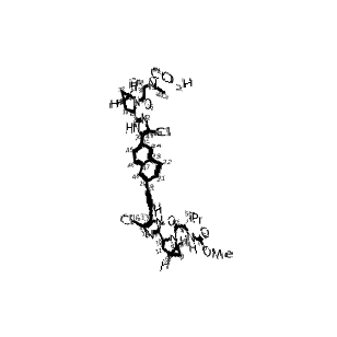 COC(=O)N[C@H](C(=O)N1[C@@H]2C[C@H]2C[C@H]1c1nc(Cl)c(C#Cc2ccc3cc(-c4[nH]c([C@@H]5C[C@H]6C[C@H]6N5C(=O)[C@H](C(C)C)N(C)C(=O)O)nc4Cl)ccc3c2)[nH]1)C(C)C